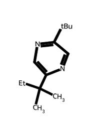 CCC(C)(C)c1cnc(C(C)(C)C)cn1